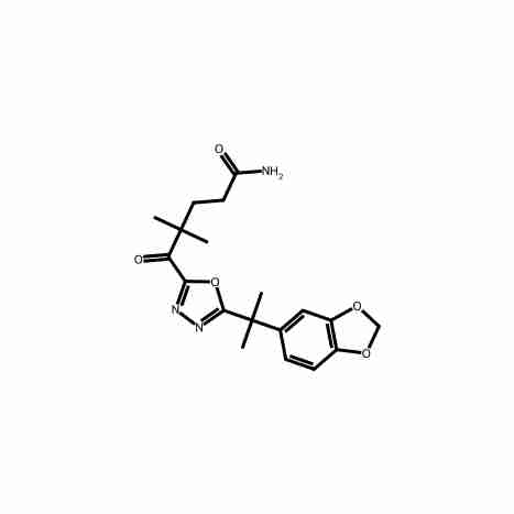 CC(C)(CCC(N)=O)C(=O)c1nnc(C(C)(C)c2ccc3c(c2)OCO3)o1